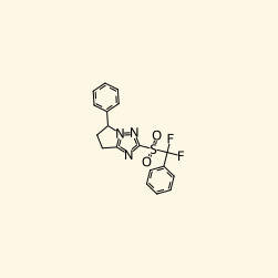 O=S(=O)(c1nc2n(n1)C(c1ccccc1)CC2)C(F)(F)c1ccccc1